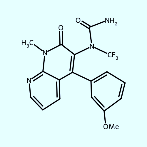 COc1cccc(-c2c(N(C(N)=O)C(F)(F)F)c(=O)n(C)c3ncccc23)c1